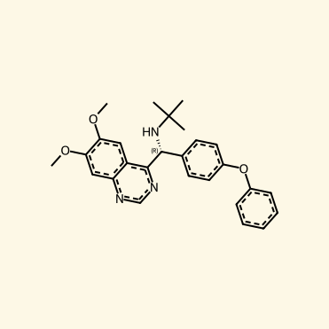 COc1cc2ncnc([C@H](NC(C)(C)C)c3ccc(Oc4ccccc4)cc3)c2cc1OC